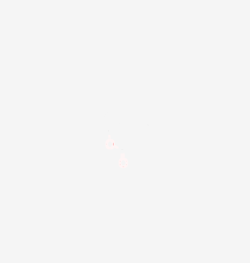 Cc1ccc2c(c1)CC(C)(c1ccccc1)OC2=O